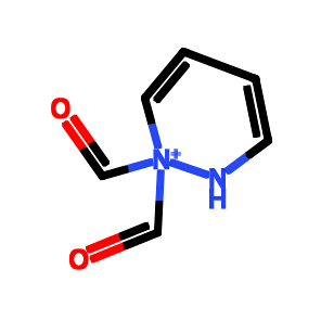 O=C[N+]1(C=O)C=CC=CN1